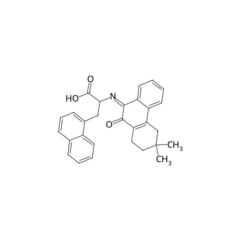 CC1(C)CCC2=C(C1)c1ccccc1/C(=N/C(Cc1cccc3ccccc13)C(=O)O)C2=O